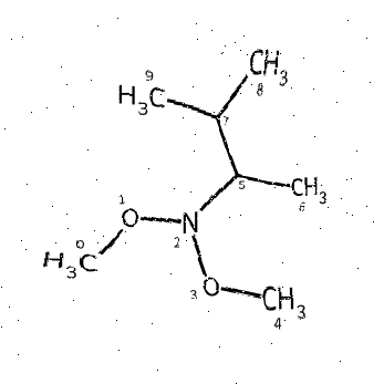 CON(OC)C(C)C(C)C